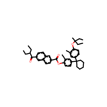 CCC(CC)C(=O)c1ccc2cc(C(=O)Oc3ccc(C4(c5ccc(OC(C)(CC)CC)c(C)c5)CCCCC4)cc3C)ccc2c1